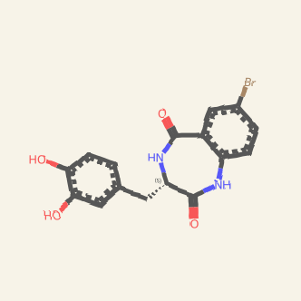 O=C1N[C@@H](Cc2ccc(O)c(O)c2)C(=O)Nc2ccc(Br)cc21